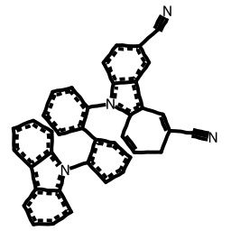 N#CC1=Cc2c(n(-c3ccccc3-c3ccccc3-n3c4ccccc4c4ccccc43)c3ccc(C#N)cc23)C=CC1